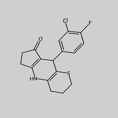 O=C1CCC2=C1C(c1ccc(F)c(Cl)c1)C1=C(CCCS1)N2